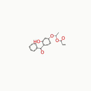 C=CC(=O)OC(C)Oc1ccc(C(=O)c2ccccc2)c(O)c1